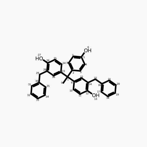 CC(c1ccc(O)cc1)(c1ccc(O)c(Cc2ccccc2)c1)c1ccc(O)c(Cc2ccccc2)c1